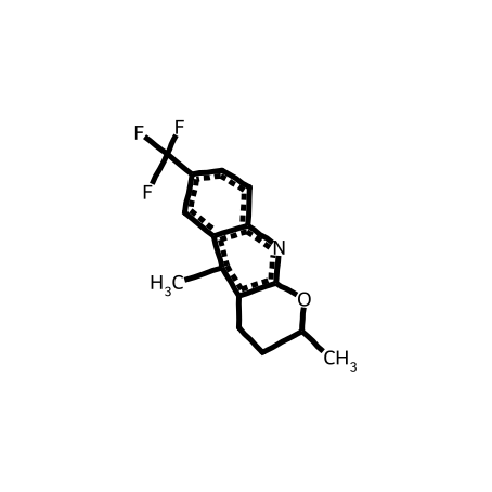 Cc1c2c(nc3ccc(C(F)(F)F)cc13)OC(C)CC2